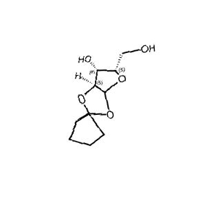 OC[C@@H]1OC2OC3(CCCC3)O[C@H]2[C@@H]1O